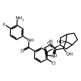 Nc1cc(NC(=O)c2ccc(Cl)c(S(=O)(=O)[C@H]3CC4CCC(C3)[C@]4(O)C(O)c3ncc[nH]3)c2)ccc1F